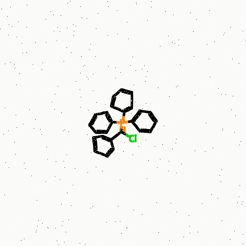 ClC(c1ccccc1)[PH](c1ccccc1)(c1ccccc1)c1ccccc1